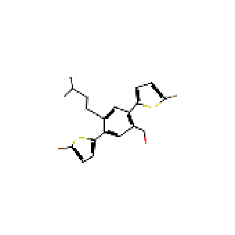 CCCCC(CC)CCc1cc(-c2ccc(Br)s2)c(CO)cc1-c1ccc(Br)s1